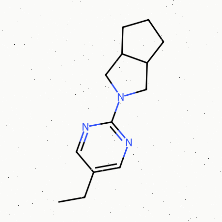 CCc1cnc(N2CC3CCCC3C2)nc1